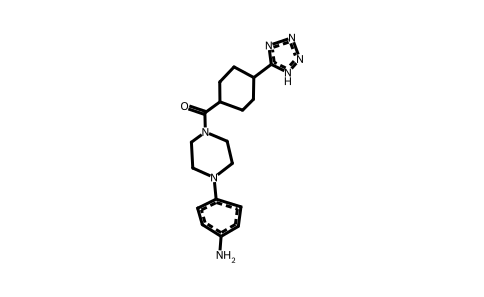 Nc1ccc(N2CCN(C(=O)C3CCC(c4nnn[nH]4)CC3)CC2)cc1